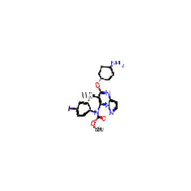 Cc1c(O[C@H]2CC[C@H](N)CC2)nc2ccnn2c1N(C(=O)OC(C)(C)C)c1ccc(I)cc1